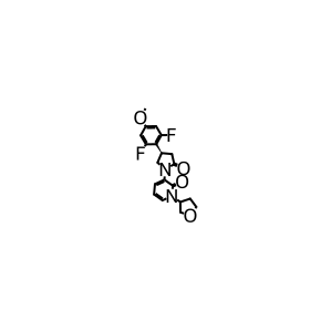 COc1cc(F)c([C@H]2CC(=O)N(c3cccn(C4CCOC4)c3=O)C2)c(F)c1